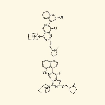 CN1CCC[C@H]1COc1nc(N2CC3CCC(C2)N3)c2cnc(-c3ccc(C4C[C@@H](COc5nc(N6CC7CCC(C6)N7)c6cnc(-c7cc(O)cc8ccccc78)c(Cl)c6n5)N(C)C4)c4cccc(C#N)c34)c(F)c2n1